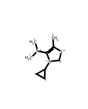 CC1=C(N(C)C)N(C2CC2)[CH]S1